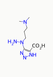 CN(C)CCCN(N)c1nn[nH]c1C(=O)O